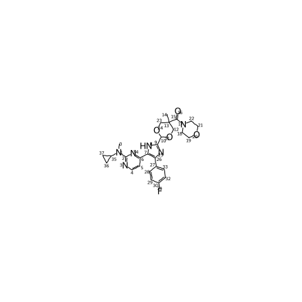 CN(c1nccc(-c2[nH]c(C3OCC(C)(C(=O)N4CCOCC4)CO3)nc2-c2ccc(F)cc2)n1)C1CC1